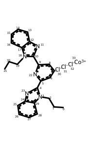 CCCn1c(-c2cccc(-c3nc4ccccc4n3CCC)n2)nc2ccccc21.[Cl-].[Cl-].[Cl-].[Co+3]